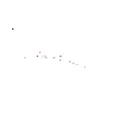 CCCCCC(CCCCC)CC(=O)OCCCCCCCCC(CCCCCCCCOC(=O)CC(CCCCC)CCCCC)CCN(C)CC